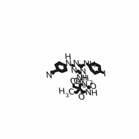 CCC1(CC)C(=O)NC(=O)NC1=O.N#Cc1ccc(Nc2nc(N)nc(Nc3ccc(I)cc3)n2)cc1